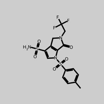 Cc1ccc(S(=O)(=O)n2cc(S(N)(=O)=O)c3c2C(=O)N(CC(F)(F)F)C3)cc1